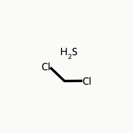 ClCCl.S